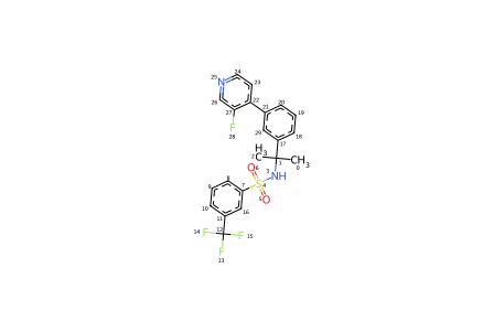 CC(C)(NS(=O)(=O)c1cccc(C(F)(F)F)c1)c1cccc(-c2ccncc2F)c1